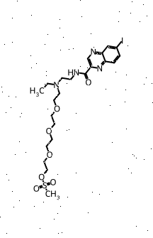 CCN(CCNC(=O)c1cnc2cc(I)ccc2n1)CCOCCOCCOCCOS(C)(=O)=O